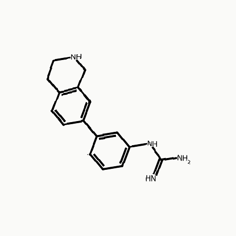 N=C(N)Nc1cc[c]c(-c2ccc3c(c2)CNCC3)c1